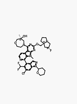 Cn1c2nc(OC[C@@]34CCCN3C[C@H](F)C4)nc(N3CCOC[C@@](C)(O)C3)c2c2ccnc(-c3c(C(F)F)c(Cl)cc4c3cnn4C3CCCCO3)c21